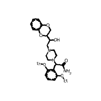 CCOc1cccc(OCC)c1C(C(N)=O)N1CCN(CC(O)C2COc3ccccc3O2)CC1